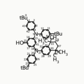 CC(C)(C)c1ccc(N(c2ccc(C(C)(C)C)cc2)c2cc(O)cc(N(c3ccc(C(C)(C)C)cc3)c3ccc4c(c3)C(C)(C)CCC4(C)C)c2)cc1